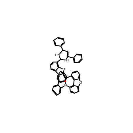 c1ccc(C2=NC(c3ccccc3)NC(c3cccc4c3oc3c(-c5cccc6oc7cccc(-n8c9ccccc9c9ccccc98)c7c56)cccc34)N2)cc1